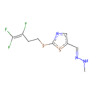 CNN=Cc1cnc(SCCC(F)=C(F)F)s1